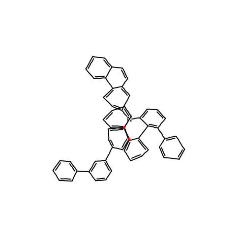 c1ccc(-c2cccc(-c3ccc(N(c4ccc5c(ccc6ccccc65)c4)c4cccc(-c5ccccc5)c4-c4ccccc4-c4ccccc4)cc3)c2)cc1